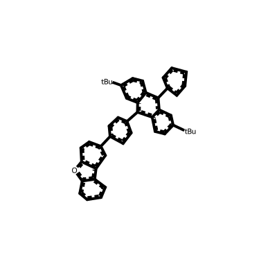 CC(C)(C)c1ccc2c(-c3ccc(-c4ccc5oc6ccccc6c5c4)cc3)c3cc(C(C)(C)C)ccc3c(-c3ccccc3)c2c1